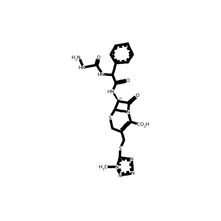 Cn1nnnc1SCC1=C(C(=O)O)N2C(=O)[C@H](NC(=O)C(NC(=O)NN)c3ccccc3)C2SC1